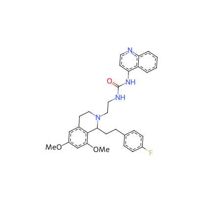 COc1cc2c(c(OC)c1)C(CCc1ccc(F)cc1)N(CCNC(=O)Nc1ccnc3ccccc13)CC2